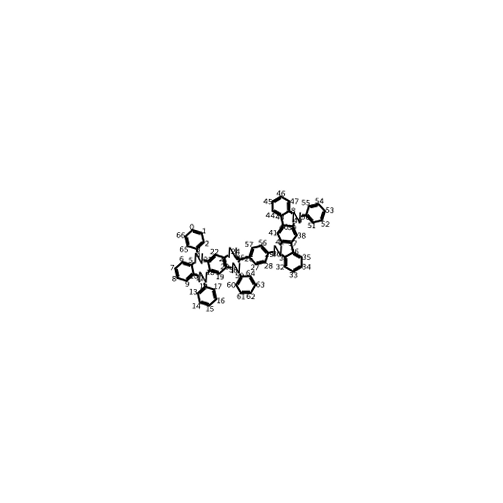 c1ccc(N2c3ccccc3N(c3ccccc3)c3cc4c(cc32)nc(-c2ccc(-n3c5ccccc5c5cc6c(cc53)c3ccccc3n6-c3ccccc3)cc2)n4-c2ccccc2)cc1